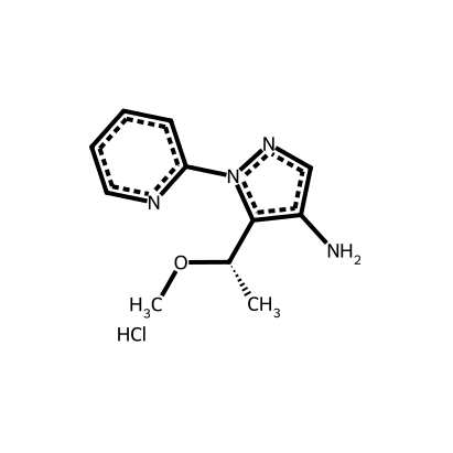 CO[C@@H](C)c1c(N)cnn1-c1ccccn1.Cl